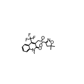 Cn1c(=O)c(CS(=O)(=O)C2=NOC(C)(C)C2)c(C(F)(F)F)c2ccccc21